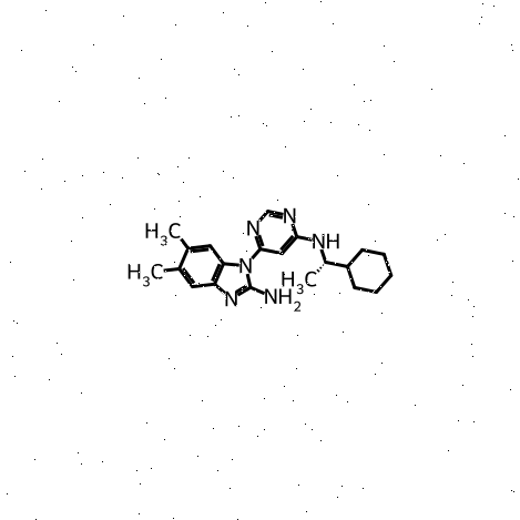 Cc1cc2nc(N)n(-c3cc(N[C@@H](C)C4CCCCC4)ncn3)c2cc1C